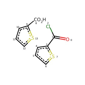 O=C(Cl)c1cccs1.O=C(O)c1cccs1